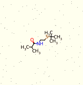 CC(C)C(=O)NCCSC(C)(C)C